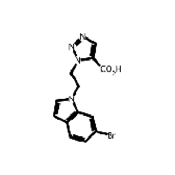 O=C(O)c1cnnn1CCn1ccc2ccc(Br)cc21